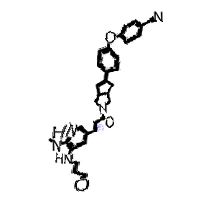 CNc1ncc(/C=C/C(=O)N2CC3C=C(c4ccc(Oc5ccc(C#N)cc5)cc4)CC3C2)cc1NCCC=O